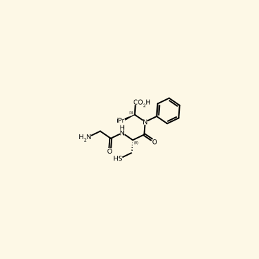 CC(C)[C@@H](C(=O)O)N(C(=O)[C@H](CS)NC(=O)CN)c1ccccc1